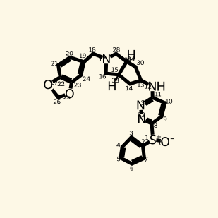 [O-][S+](c1ccccc1)c1ccc(NC2C[C@@H]3CN(Cc4ccc5c(c4)OCO5)C[C@@H]3C2)nn1